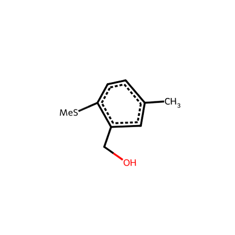 CSc1ccc(C)cc1CO